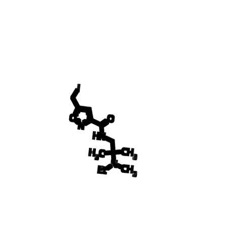 CCN(C)C(C)(C)CNC(=O)c1cc(CI)on1